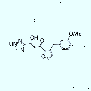 COc1cccc(Cc2ccoc2C(=O)C=C(O)c2nc[nH]n2)c1